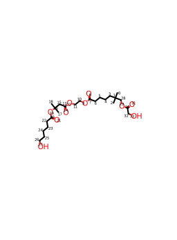 CC(C)(CCCCC(=O)OCCOC(=O)CC(C)(C)OC(=O)CCCCCO)COC(=O)CO